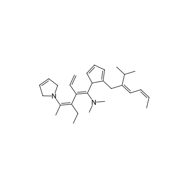 C=CC(/C(CC)=C(/C)N1CC=CC1)=C(\C1C=CC=C1C/C(=C/C=C\C)C(C)C)N(C)C